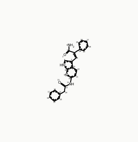 NC(=O)/C(=C\c1c[nH]c2nc(NC(=O)Cc3ccccc3)ccc12)c1ccccc1